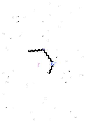 CCCCCCCC/C=C\CCCCCCCC[N+](C)(C)CCCCCC.[I-]